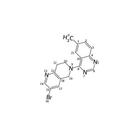 Cc1ccc2ncnc(N3CCc4ncc(Br)cc4C3)c2c1